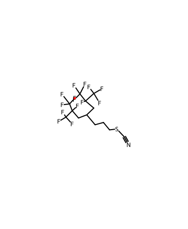 N#CSCCCC(CC(F)(C(F)(F)F)C(F)(F)F)CC(F)(C(F)(F)F)C(F)(F)F